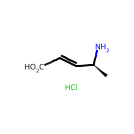 C[C@H](N)/C=C/C(=O)O.Cl